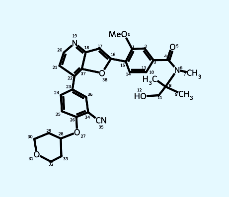 COc1cc(C(=O)N(C)C(C)(C)CO)ccc1-c1cc2nccc(-c3ccc(OC4CCOCC4)c(C#N)c3)c2o1